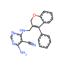 N#Cc1c(N)ncnc1NCC1=C(c2ccccc2)c2ccccc2OC1